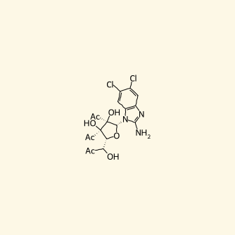 CC(=O)C(O)[C@H]1O[C@@H](n2c(N)nc3cc(Cl)c(Cl)cc32)[C@@](O)(C(C)=O)[C@@]1(O)C(C)=O